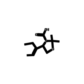 CC=C(CC)C1COC(C)(C)N1C(=O)O